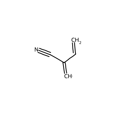 [CH]=C(C#N)C=C